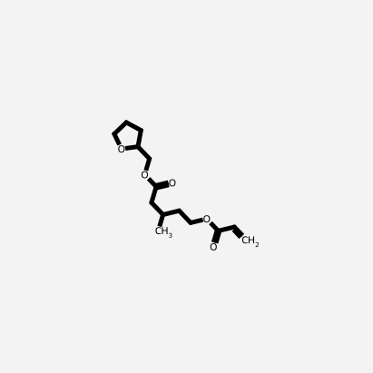 C=CC(=O)OCCC(C)CC(=O)OCC1CCCO1